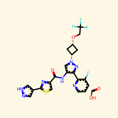 O=C(Nc1cn([C@H]2C[C@@H](OCC(F)(F)F)C2)nc1-c1ncccc1F)c1csc(-c2cn[nH]c2)n1.O=CO